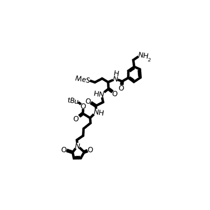 CSCCC(NC(=O)c1cccc(CN)c1)C(=O)NCC(=O)NC(CCCCN1C(=O)C=CC1=O)C(=O)OC(C)(C)C